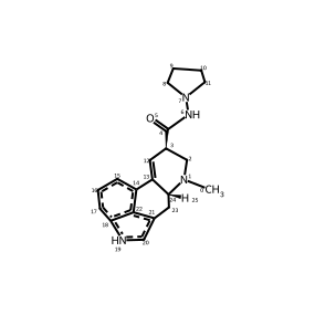 CN1C[C@H](C(=O)NN2CCCC2)C=C2c3cccc4[nH]cc(c34)C[C@H]21